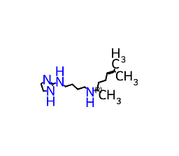 CC(C)=CCC[C@@H](C)NCCCCNC1=NCCN1